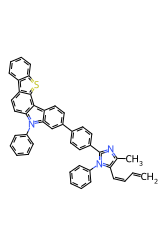 C=C/C=C\c1c(C)nc(-c2ccc(-c3ccc4c5c6sc7ccccc7c6ccc5n(-c5ccccc5)c4c3)cc2)n1-c1ccccc1